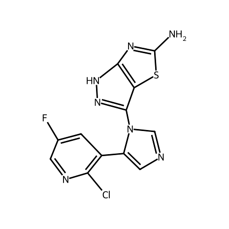 Nc1nc2[nH]nc(-n3cncc3-c3cc(F)cnc3Cl)c2s1